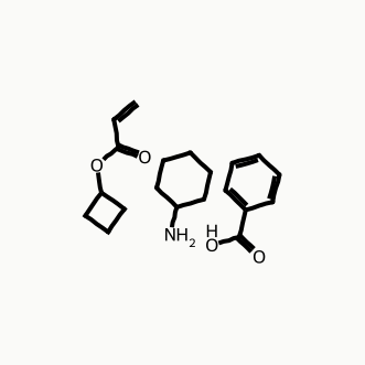 C=CC(=O)OC1CCC1.NC1CCCCC1.O=C(O)c1ccccc1